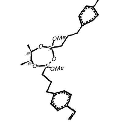 C=Cc1ccc(CCC[Si]2(OC)O[C@@H](C)[C@@H](C)O[Si](CCCc3ccc(C=C)cc3)(OC)O2)cc1